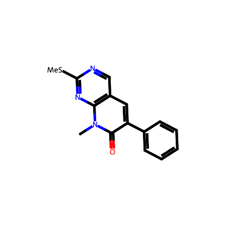 CSc1ncc2cc(-c3ccccc3)c(=O)n(C)c2n1